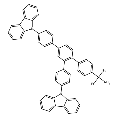 CCC(N)(CC)c1ccc(-c2ccc(-c3ccc(-n4c5ccccc5c5ccccc54)cc3)cc2-c2ccc(-n3c4ccccc4c4ccccc43)cc2)cc1